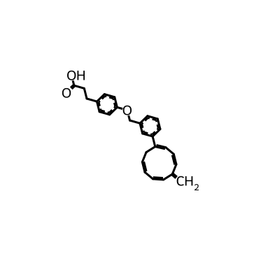 C=C1/C=C\C=C/C/C(c2cccc(COc3ccc(CCC(=O)O)cc3)c2)=C\C=C/1